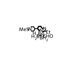 BC(B)(B)N(C=O)c1c(CC)nc2ccc(C3CCN(SC)CC3)cn12